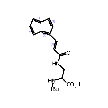 CC(C)(C)NC(CNC(=O)/C=C/C1=C\C=C/C=C/C=C\1)C(=O)O